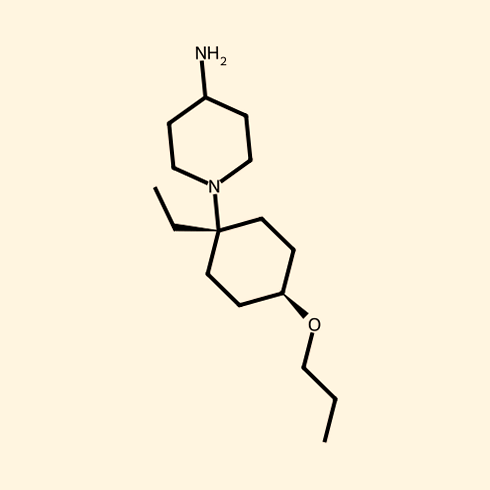 CCCO[C@H]1CC[C@](CC)(N2CCC(N)CC2)CC1